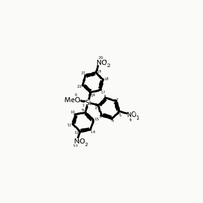 CO[Si](c1ccc([N+](=O)[O-])cc1)(c1ccc([N+](=O)[O-])cc1)c1ccc([N+](=O)[O-])cc1